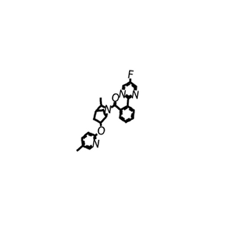 Cc1ccc(OC2CC3CC2N(C(=O)c2ccccc2-c2ncc(F)cn2)C3C)nc1